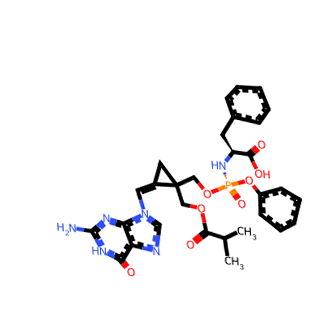 CC(C)C(=O)OCC1(CO[P@@](=O)(N[C@@H](Cc2ccccc2)C(=O)O)Oc2ccccc2)C/C1=C/n1cnc2c(=O)[nH]c(N)nc21